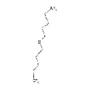 FC(F)(F)CCCCOCCCCC(F)(F)F